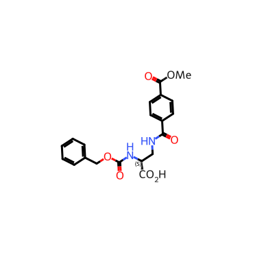 COC(=O)c1ccc(C(=O)NC[C@H](NC(=O)OCc2ccccc2)C(=O)O)cc1